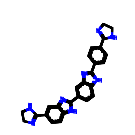 c1cc(-c2nc3cc(-c4nc5cc(C6=NCCN6)ccc5[nH]4)ccc3[nH]2)ccc1C1=NCCN1